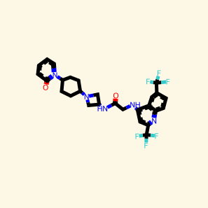 O=C(CNc1cc(C(F)(F)F)nc2ccc(C(F)(F)F)cc12)NC1CN(C2CCC(n3ccccc3=O)CC2)C1